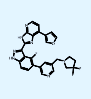 Fc1c(-c2cncc(CN3CCC(F)(F)C3)c2)ccc2[nH]nc(-c3nc4c(-c5ccoc5)ccnc4[nH]3)c12